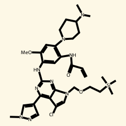 C=CC(=O)Nc1cc(Nc2nc(-c3cnn(C)c3)c3c(Cl)cn(COCC[Si](C)(C)C)c3n2)c(OC)cc1N1CCC(N(C)C)CC1